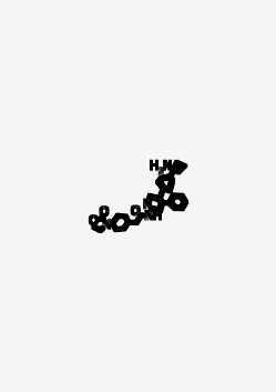 NC1(c2ccc(-c3cnc(NC(=O)CC4CCC(N5CCOC5=O)CC4)cc3-c3ccccc3)cc2)CCC1